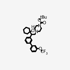 CC(C)(C)OC(=O)N1CCN(CC(c2cccc(-c3cccc(OC(F)(F)F)c3)c2)C2(O)CCCCC2)CC1